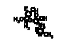 Cc1ncnc2c1ccn2[C@@H]1C[C@H](Oc2cc(Cl)c(F)cc2[C@@H](C)N)[C@@H](O)[C@H]1O